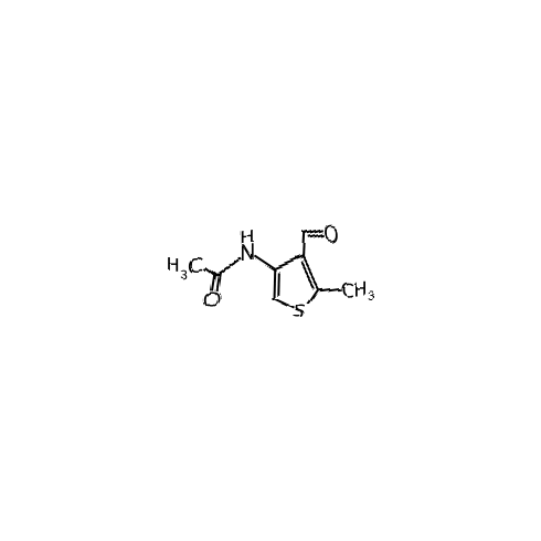 CC(=O)Nc1csc(C)c1C=O